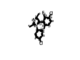 Cc1nc(C)n(-c2ccc(Cl)cc2)c1-c1c(F)ccc(Cl)c1F